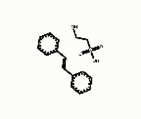 C(=Cc1ccccc1)c1ccccc1.O=S(=O)(O)CCO